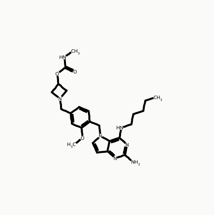 CCCCCNc1nc(N)nc2ccn(Cc3ccc(CN4CC(OC(=O)NC)C4)cc3OC)c12